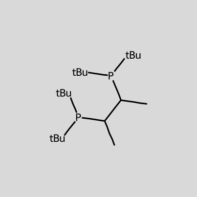 CC(C(C)P(C(C)(C)C)C(C)(C)C)P(C(C)(C)C)C(C)(C)C